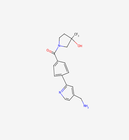 NCc1ccnc(-c2ccc(C(=O)N3CCC(O)(C(F)(F)F)C3)cc2)c1